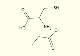 CCC(=O)O.NC(CS)C(=O)O